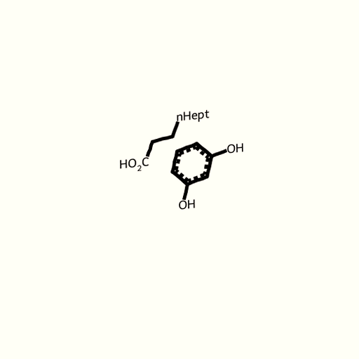 CCCCCCCCCC(=O)O.Oc1cccc(O)c1